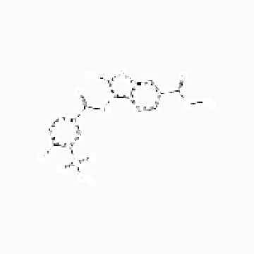 COC(=O)c1ccc2c(c1)n[c]([Sn])n2NC(=O)c1ccc(Cl)c(S(N)(=O)=O)c1